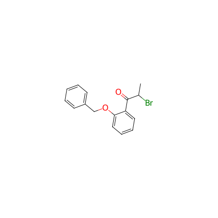 CC(Br)C(=O)c1ccccc1OCc1ccccc1